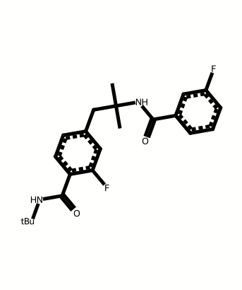 CC(C)(C)NC(=O)c1ccc(CC(C)(C)NC(=O)c2cccc(F)c2)cc1F